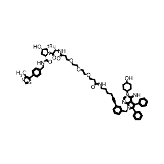 Cc1ncsc1-c1ccc(CNC(=O)[C@@H]2C[C@@H](O)CN2C(=O)[C@@H](NC(=O)CCOCCOCCOCCC(=O)NCCCCC#Cc2cccc(Cn3c(-c4ccccc4)c(-c4ccccc4)c4c(=N)n(C5CCC(O)CC5)cnc43)c2)C(C)(C)C)cc1